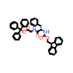 O=C(CNC(=O)[C@H](Cc1ccccc1)NC(=O)OCC1c2ccccc2-c2ccccc21)OC(c1ccccc1)(c1ccccc1)c1ccccc1